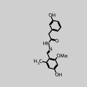 COc1cc(O)cc(C)c1/C=N/NC(=O)Cc1cccc(O)c1